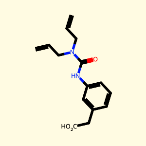 C=CCN(CC=C)C(=O)Nc1cccc(CC(=O)O)c1